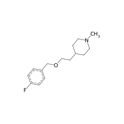 CN1CCC(CCOCc2ccc(F)cc2)CC1